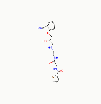 N#Cc1ccccc1OCC(O)CNCCNC(=O)CNC(=O)c1cccs1